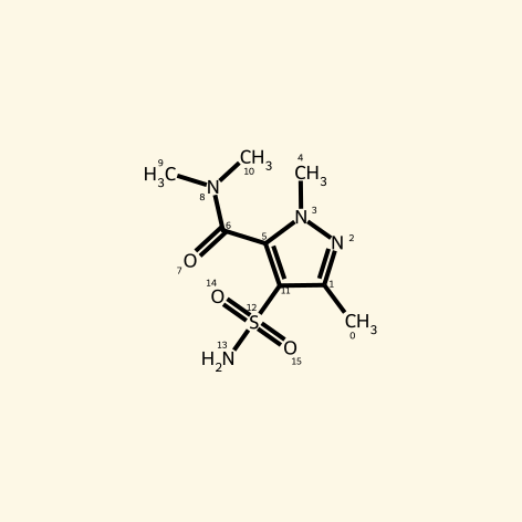 Cc1nn(C)c(C(=O)N(C)C)c1S(N)(=O)=O